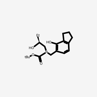 CC[C@H](O)CN(Cc1ccc2c(c1O)CCC2)C(=O)OC(C)(C)C